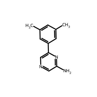 Cc1cc(C)cc(-c2cncc(N)n2)c1